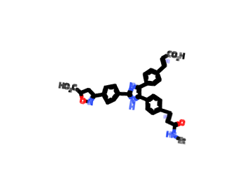 CCNC(=O)/C=C/c1ccc(-c2[nH]c(-c3ccc(C4=NOC(C(=O)O)C4)cc3)nc2-c2ccc(/C=C/C(=O)O)cc2)cc1